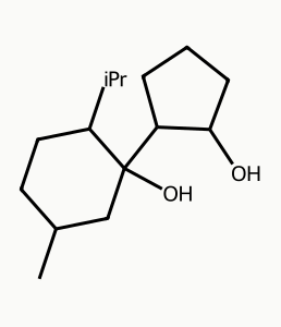 CC1CCC(C(C)C)C(O)(C2CCCC2O)C1